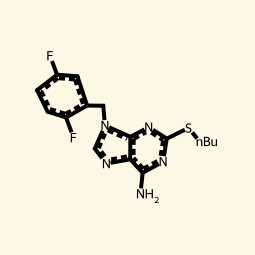 CCCCSc1nc(N)c2ncn(Cc3cc(F)ccc3F)c2n1